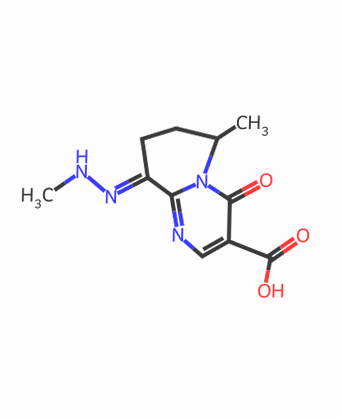 CNN=C1CCC(C)n2c1ncc(C(=O)O)c2=O